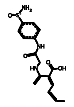 C=C(NCC(=O)Nc1ccc([S+](N)[O-])cc1)/C(=C\C=C/C)C(=O)O